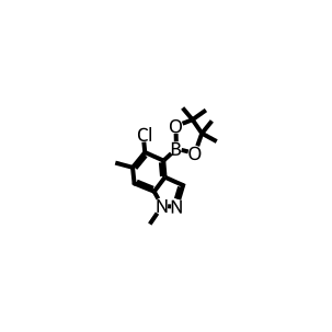 Cc1cc2c(cnn2C)c(B2OC(C)(C)C(C)(C)O2)c1Cl